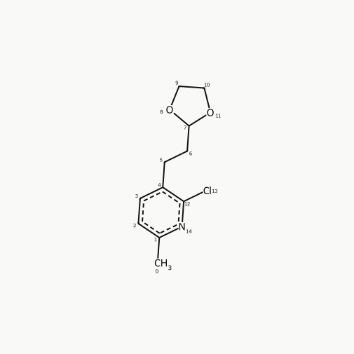 Cc1ccc(CCC2OCCO2)c(Cl)n1